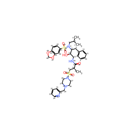 CC(C)CN(C(Cc1ccccc1)[C@H](O)CNC(=O)[C@@H](C)CS(=O)(=O)N1CCN(Cc2ccccn2)CC1)S(=O)(=O)c1ccc2c(c1)OCO2